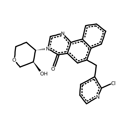 O=c1c2cc(Cc3cccnc3Cl)c3ccccc3c2ncn1[C@H]1CCOC[C@@H]1O